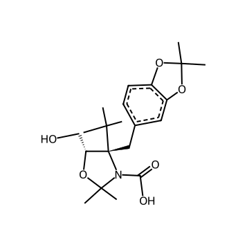 CC1(C)Oc2ccc(C[C@]3(C(C)(C)C)[C@@H](CO)OC(C)(C)N3C(=O)O)cc2O1